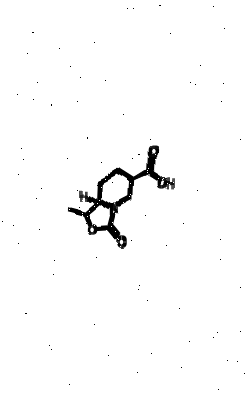 CC1OC(=O)N2C[C@H](C(=O)O)CC[C@@H]12